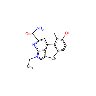 Cc1ccc(O)c(C)c1-c1cc(C(N)=O)nc2c1c(C#N)cn2CC(F)(F)F